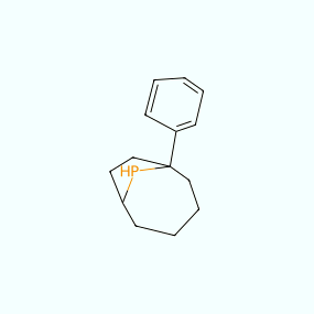 c1ccc(C23CCCCC(CC2)P3)cc1